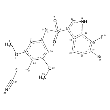 COc1nc(NS(=O)(=O)c2c[nH]c3c(F)c(Br)ccc23)nc(OC)c1CCC#N